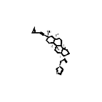 C=C(Cn1ccnc1)[C@H]1CC[C@H]2[C@@H]3CC[C@@H]4C[C@@](O)(C#CC5CC5)CC[C@@H]4[C@H]3CC[C@]12C